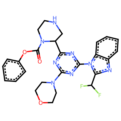 O=C(Oc1ccccc1)N1CCNCC1c1nc(N2CCOCC2)nc(-n2c(C(F)F)nc3ccccc32)n1